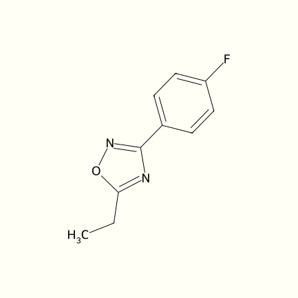 CCc1nc(-c2ccc(F)cc2)no1